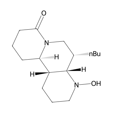 CCCC[C@H]1CN2C(=O)CCC[C@@H]2[C@H]2CCCN(O)[C@@H]12